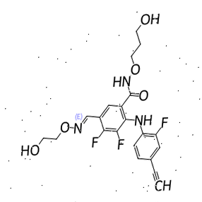 C#Cc1ccc(Nc2c(C(=O)NOCCCO)cc(/C=N/OCCO)c(F)c2F)c(F)c1